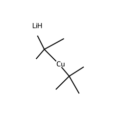 C[C](C)(C)[Cu][C](C)(C)C.[LiH]